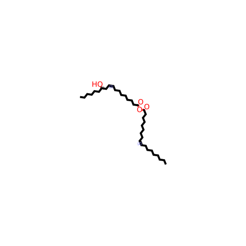 CCCCCCCC/C=C\CCCCCCCC(=O)OC(=O)CCCCCCC/C=C\C[C@H](O)CCCCCC